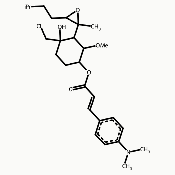 COC1C(OC(=O)C=Cc2ccc(N(C)C)cc2)CCC(O)(CCl)C1C1(C)OC1CCC(C)C